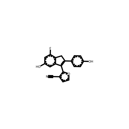 N#Cc1ccoc1C1=C(c2ccc(O)cc2)Cc2c(F)cc(O)cc21